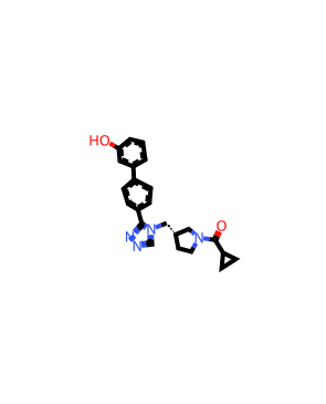 O=C(C1CC1)N1CC[C@H](Cn2cnnc2-c2ccc(-c3cccc(O)c3)cc2)C1